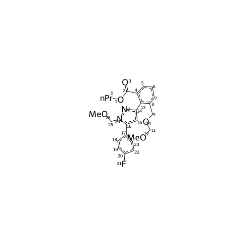 CCCOC(=O)c1cccc(COCOC)c1-c1cc(-c2ccc(F)cc2)n(COC)n1